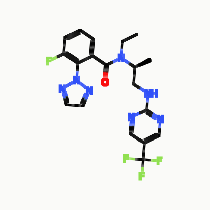 CCN(C(=O)c1cccc(F)c1-n1nccn1)[C@@H](C)CNc1ncc(C(F)(F)F)cn1